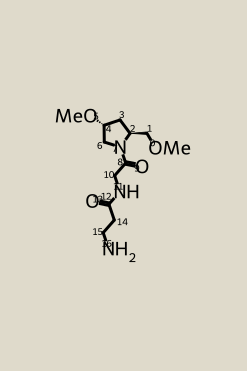 COC[C@@H]1C[C@@H](OC)CN1C(=O)CNC(=O)CCN